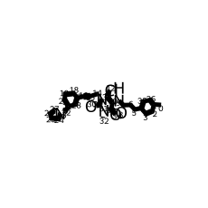 Cc1ccc(CCC(=O)Nc2c(Cl)n(CC#Cc3cccc(Cn4cccc4)c3)c(=O)n(C)c2=O)cc1